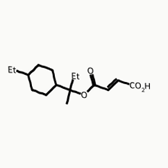 CCC1CCC(C(C)(CC)OC(=O)/C=C/C(=O)O)CC1